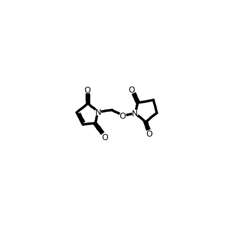 O=C1C=CC(=O)N1CON1C(=O)CCC1=O